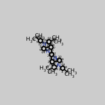 CC(C)c1ccc(N(C2=CCC(C(C)C)C=C2)c2cccc3c2c2cccc4c5cc6c(cc5n3c42)c2cccc3c4c(N(c5ccc(C(C)C)cc5)c5ccc(C(C)C)cc5)cccc4n6c23)cc1